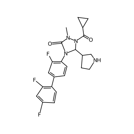 CN1C(=O)N(c2ccc(-c3ccc(F)cc3F)cc2F)C(C2CCNC2)N1C(=O)C1CC1